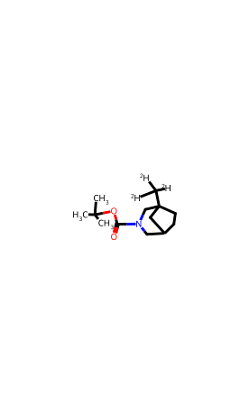 [2H]C([2H])([2H])C12CCC(CN(C(=O)OC(C)(C)C)C1)C2